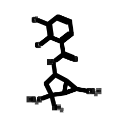 NC1(C(=O)O)CC(NC(=O)c2cccc(Cl)c2Cl)C2C(C(=O)O)C21